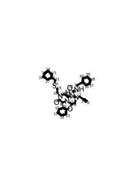 C#CCN1CC(=O)N2[C@@H](c3ccccc3)C(=O)N(CCSCc3ccccc3)C[C@@H]2N1C(=O)NCc1ccccc1